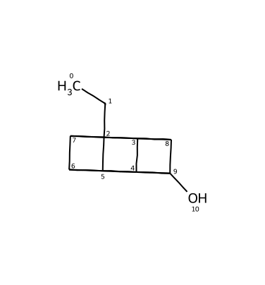 CCC12C3C4C1C1C2C3C41O